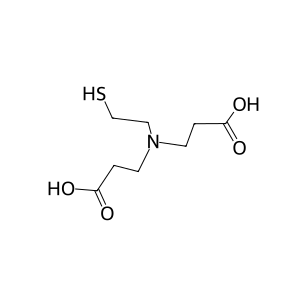 O=C(O)CCN(CCS)CCC(=O)O